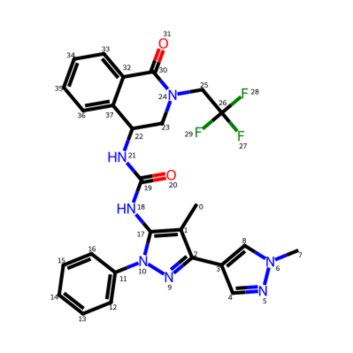 Cc1c(-c2cnn(C)c2)nn(-c2ccccc2)c1NC(=O)NC1CN(CC(F)(F)F)C(=O)c2ccccc21